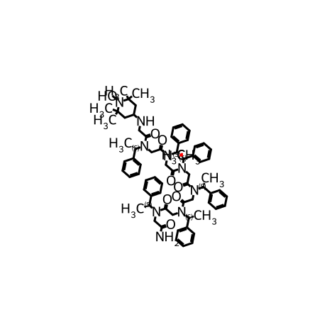 C[C@@H](c1ccccc1)N(CC(N)=O)C(=O)CN(C(=O)CN(C(=O)CN(C(=O)CN(C(=O)CN(C(=O)CNC1CC(C)(C)N(O)C(C)(C)C1)[C@@H](C)c1ccccc1)[C@@H](C)c1ccccc1)[C@@H](C)c1ccccc1)[C@@H](C)c1ccccc1)[C@@H](C)c1ccccc1